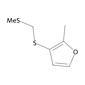 CSCSc1ccoc1C